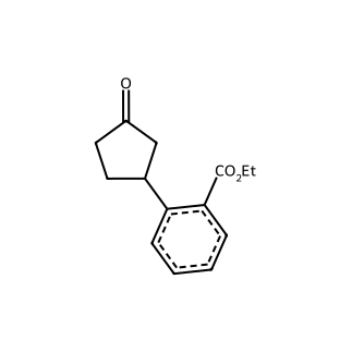 CCOC(=O)c1ccccc1C1CCC(=O)C1